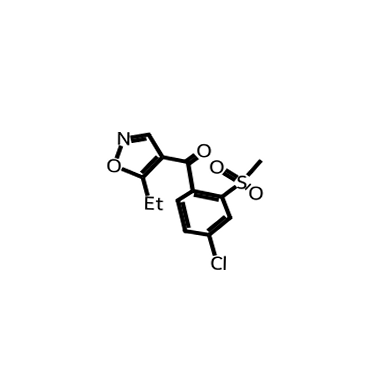 CCc1oncc1C(=O)c1ccc(Cl)cc1S(C)(=O)=O